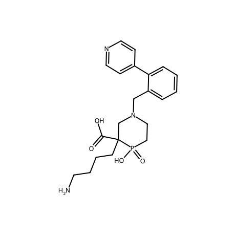 NCCCCC1(C(=O)O)CN(Cc2ccccc2-c2ccncc2)CCP1(=O)O